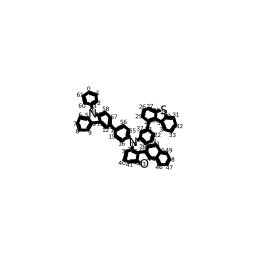 c1ccc(-n2c3ccccc3c3cc(-c4ccc(N(c5cccc(-c6cccc7sc8ccccc8c67)c5)c5cccc6oc7c8ccccc8ccc7c56)cc4)ccc32)cc1